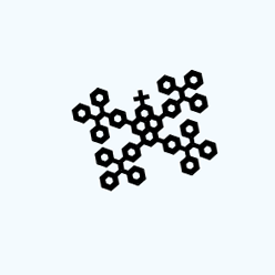 CC(C)(C)c1cc2c(-c3ccc(C(=C(c4ccccc4)c4ccccc4)c4ccccc4)cc3)cc3c(-c4ccc(C(=C(c5ccccc5)c5ccccc5)c5ccccc5)cc4)cc(-c4ccc(C(=C(c5ccccc5)c5ccccc5)c5ccccc5)cc4)c4cc(-c5ccc(C(=C(c6ccccc6)c6ccccc6)c6ccccc6)cc5)c(c1)c2c34